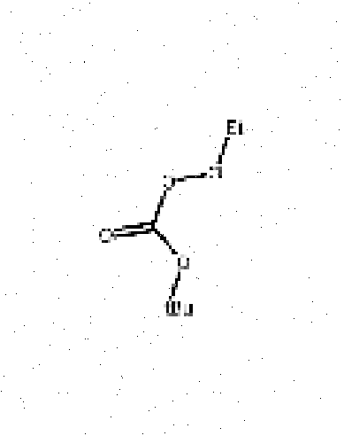 CCOOC(=O)OC(C)(C)C